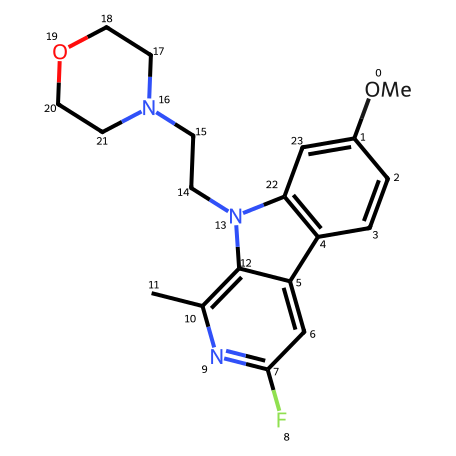 COc1ccc2c3cc(F)nc(C)c3n(CCN3CCOCC3)c2c1